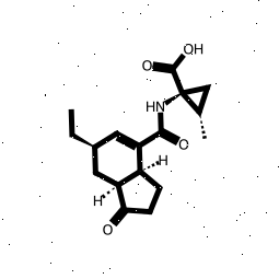 CC[C@H]1C=C(C(=O)N[C@@]2(C(=O)O)C[C@@H]2C)[C@H]2CCC(=O)[C@H]2C1